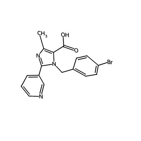 Cc1nc(-c2cccnc2)n(Cc2ccc(Br)cc2)c1C(=O)O